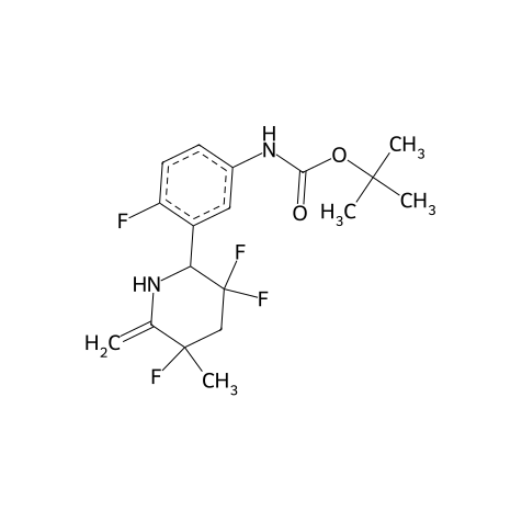 C=C1NC(c2cc(NC(=O)OC(C)(C)C)ccc2F)C(F)(F)CC1(C)F